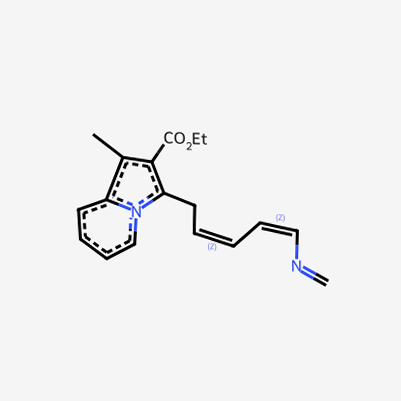 C=N/C=C\C=C/Cc1c(C(=O)OCC)c(C)c2ccccn12